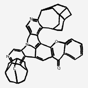 O=c1c2ccccc2oc2c1cc1c3c4c(ncc3n3c5cnc6c(c5c2c13)C1CC2CC3CC6CC32C1)C1CC2CC(C1)CC4C2